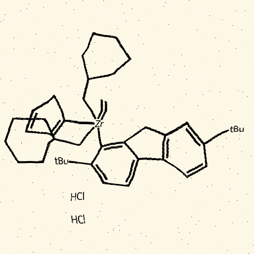 Cl.Cl.[CH2]=[Zr]([CH2]C1CCCCC1)([CH2]C1CCCCC1)([C]1=CC=CC1)[c]1c(C(C)(C)C)ccc2c1Cc1cc(C(C)(C)C)ccc1-2